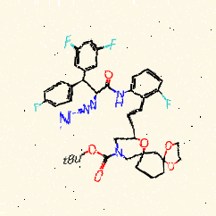 CC(C)(C)OC(=O)N1C[C@@H](CCc2c(F)cccc2NC(=O)[C@@H](N=[N+]=[N-])[C@@H](c2ccc(F)cc2)c2cc(F)cc(F)c2)OC2(CCCC3(C2)OCCO3)C1